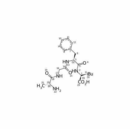 CC[C@H](C)[C@H](NC(=O)[C@H](Cc1ccccc1)NC(=O)CNC(=O)[C@@H](C)N)C(=O)O